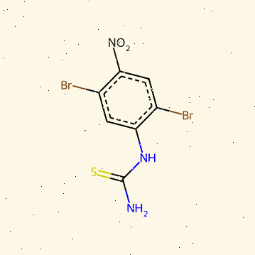 NC(=S)Nc1cc(Br)c([N+](=O)[O-])cc1Br